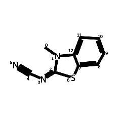 Cn1c(=NC#N)sc2ccccc21